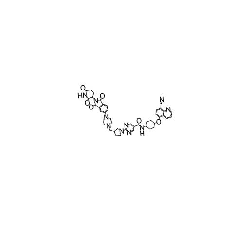 N#Cc1ccc(OC2CCC(NC(=O)c3cnc(N4CC[C@@H](CN5CCN(c6ccc7c(c6)C(=O)N(C6CCC(=O)NC6=O)C7=O)CC5)C4)nc3)CC2)c2cccnc12